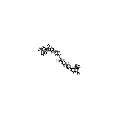 N#Cc1ccc(N2CCC(c3ccc(NCCCN4CCN(c5ccc6c(c5)CN(C5CCC(=O)NC5=O)C6=O)CC4)cc3)CC2)cc1C(F)(F)F